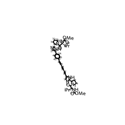 COC(=O)N[C@H](C(=O)N1CCC[C@H]1c1ncc(C#CC#CC#Cc2ccc(-c3cnc([C@@H]4CCCN4C(=O)[C@@H](NC(=O)OC)C(C)C)[nH]3)cc2)[nH]1)C(C)C